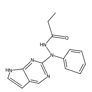 CCC(=O)NN(c1ccccc1)c1ncc2cc[nH]c2n1